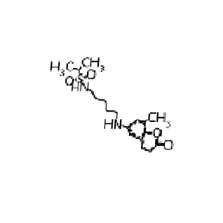 Cc1cc(NCCCCCNS(=O)(=O)C(C)C)cc2ccc(=O)oc12